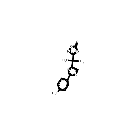 Cc1ccc(-c2nc(C(C)(C)c3noc(=O)o3)cs2)cc1